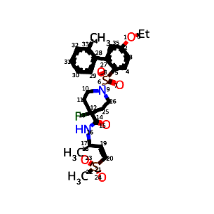 CCOc1ccc(S(=O)(=O)N2CCC(F)(C(=O)N[C@H](C)/C=C\S(C)(=O)=O)CC2)c(-c2ccccc2C)c1